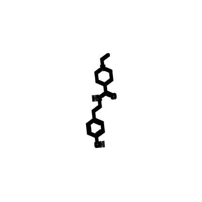 CCN1CCC(C(=O)NCCc2ccc(O)cc2)CC1